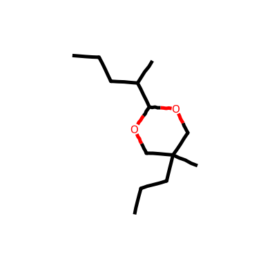 CCCC(C)C1OCC(C)(CCC)CO1